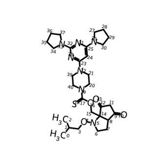 CC(C)CON1CCC2C(=O)CC(=O)C21COC(=S)N1CCN(c2cc(N3CCCC3)nc(N3CCCC3)n2)CC1